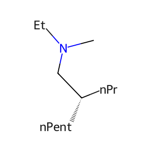 CCCCC[C@@H](CCC)CN(C)CC